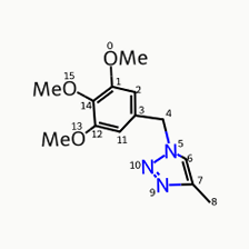 COc1cc(Cn2cc(C)nn2)cc(OC)c1OC